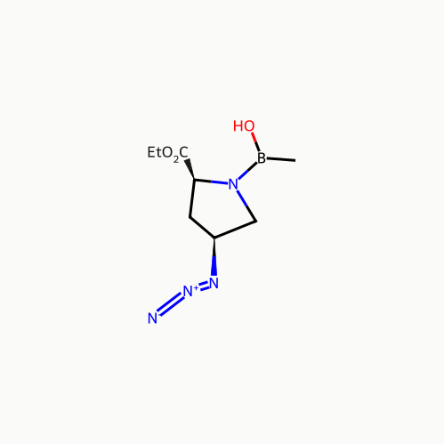 CCOC(=O)[C@@H]1C[C@H](N=[N+]=[N-])CN1B(C)O